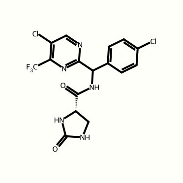 O=C1NC[C@@H](C(=O)NC(c2ccc(Cl)cc2)c2ncc(Cl)c(C(F)(F)F)n2)N1